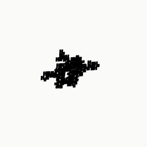 C[C@@H](NC(=O)[C@H](CS)NC(=O)[C@@H](N)CCCNC(=N)N)C(=O)N[C@@H](CCCNC(=N)N)C(=O)N[C@H](Cc1ccccc1)C(=O)N[C@@H](CC(Br)CNC(=N)N)C(=O)N[C@H](Cc1c[nH]c2ccccc12)C(=O)N[C@@H](CS)C(=O)N[C@@H](CCCNC(=N)N)C(=O)N[C@@H](Cc1ccccc1)C(=O)O